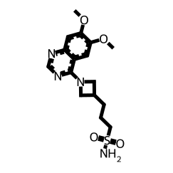 COc1cc2ncnc(N3CC(CCCS(N)(=O)=O)C3)c2cc1OC